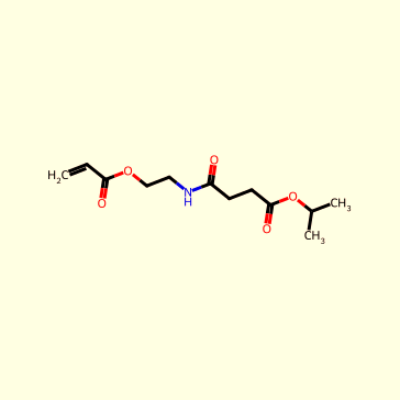 C=CC(=O)OCCNC(=O)CCC(=O)OC(C)C